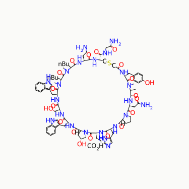 CCCC[C@H]1C(=O)N(C)[C@@H](CCCC)C(=O)N[C@@H](CCN)C(=O)N[C@H](C(=O)NCC(N)=O)CSCC(=O)N[C@@H](Cc2ccc(O)cc2)C(=O)N(C)[C@@H](C)C(=O)N[C@@H](CC(N)=O)C(=O)N2CCC[C@H]2C(=O)N[C@@H](Cc2cnc[nH]2)C(=O)N[C@@H](CCC(=O)O)C(=O)N2C[C@H](O)C[C@H]2C(=O)N[C@@H](Cc2c[nH]c3ccccc23)C(=O)N[C@@H](CO)C(=O)N[C@@H](Cc2c[nH]c3ccccc23)C(=O)N1C